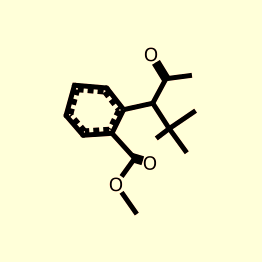 COC(=O)c1ccccc1C(C(C)=O)C(C)(C)C